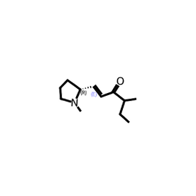 CCC(C)C(=O)/C=C/[C@H]1CCCN1C